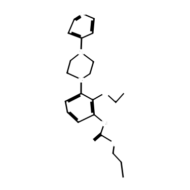 CCCOC(=O)Nc1cccc(N2CCN(c3ccncc3)CC2)c1OCC